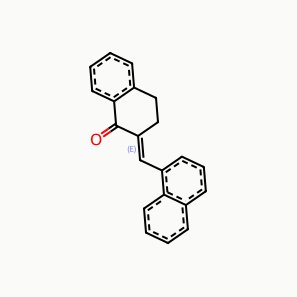 O=C1/C(=C/c2cccc3ccccc23)CCc2ccccc21